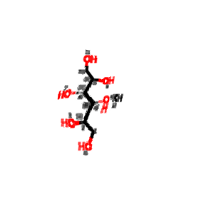 OC[C@@H](O)[C@@H](O)[C@H](O)[C@H](O)CO.[KH]